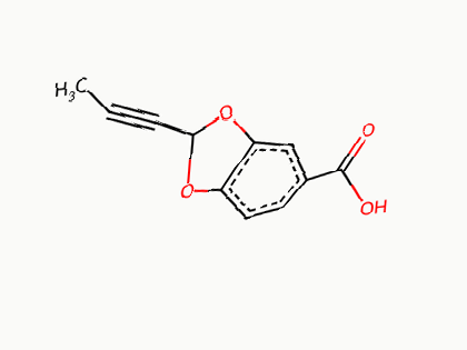 CC#CC1Oc2ccc(C(=O)O)cc2O1